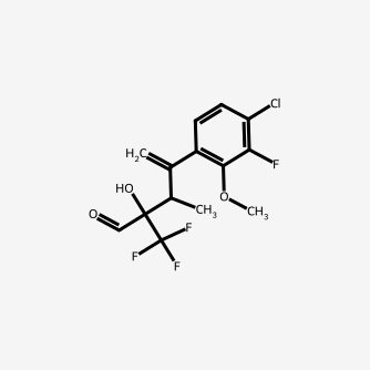 C=C(c1ccc(Cl)c(F)c1OC)C(C)C(O)(C=O)C(F)(F)F